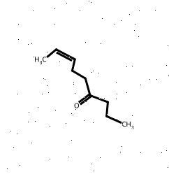 C/C=C\CCC(=O)CCC